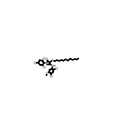 CCCCCCCCCCCCSC1C(=O)N(c2c(Cl)cc(Cl)cc2Cl)N=C1Nc1cc(OC)c(Cl)cc1Cl